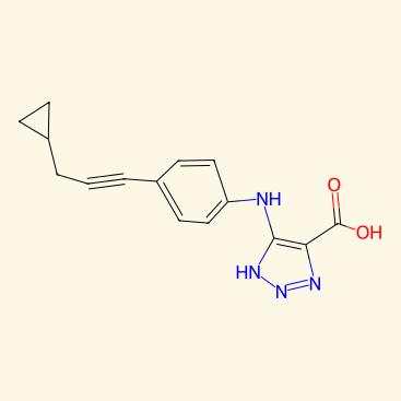 O=C(O)c1nn[nH]c1Nc1ccc(C#CCC2CC2)cc1